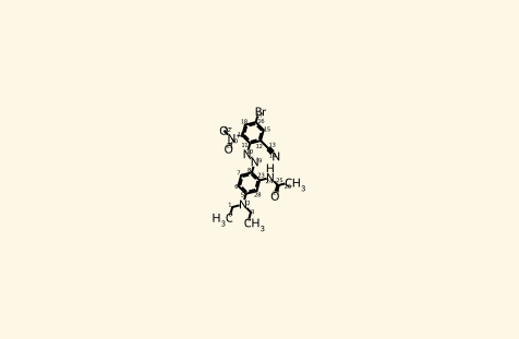 CCN(CC)c1ccc(N=Nc2c(C#N)cc(Br)cc2[N+](=O)[O-])c(NC(C)=O)c1